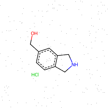 Cl.OCc1ccc2c(c1)CNC2